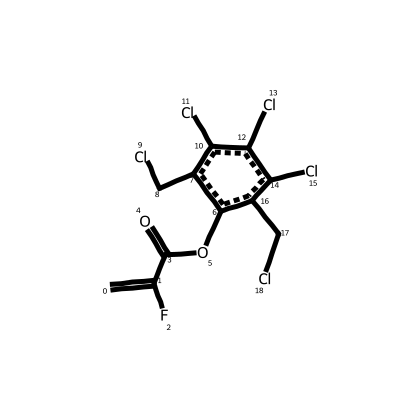 C=C(F)C(=O)Oc1c(CCl)c(Cl)c(Cl)c(Cl)c1CCl